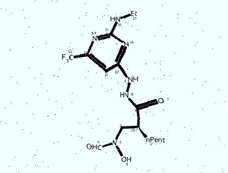 CCCCC[C@@H](CN(O)C=O)C(=O)NNc1cc(C(F)(F)F)nc(NCC)n1